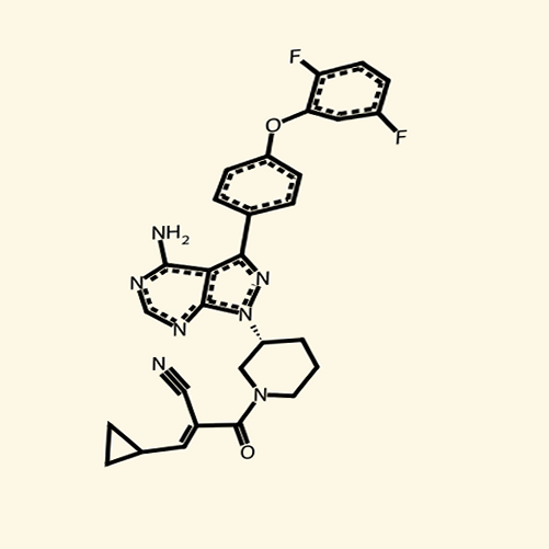 N#CC(=CC1CC1)C(=O)N1CCC[C@@H](n2nc(-c3ccc(Oc4cc(F)ccc4F)cc3)c3c(N)ncnc32)C1